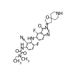 CCN(C)S(=O)(=O)Nc1ccc(F)c(Nc2ccc3ncn([C@H]4COC5(CCNCC5)C4)c(=O)c3c2F)c1C#N